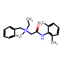 CC[N+](C)(CC(=O)Nc1c(C)cccc1C)Cc1ccccc1